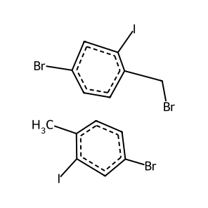 BrCc1ccc(Br)cc1I.Cc1ccc(Br)cc1I